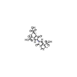 O=C1/C(=C2\Nc3c(cc(S(=O)(=O)O)cc3S(=O)(=O)O)C2=O)Nc2c1cccc2S(=O)(=O)O